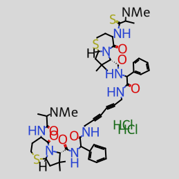 CNC(C)C(=O)N[C@H]1CCS[C@H]2CC(C)(C)[C@@H](C(=O)NC(C(=O)NCC#CC#CCNC(=O)C(NC(=O)[C@H]3N4C(=O)[C@@H](NC(=S)C(C)NC)CCS[C@H]4CC3(C)C)c3ccccc3)c3ccccc3)N2C1=O.Cl.Cl